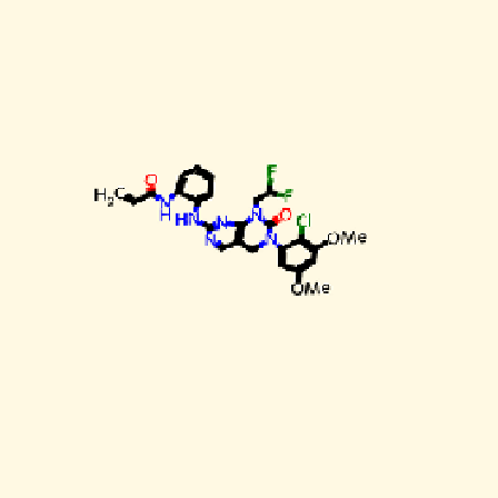 C=CC(=O)Nc1ccccc1Nc1ncc2c(n1)N(CC(F)F)C(=O)N(c1cc(OC)cc(OC)c1Cl)C2